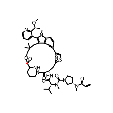 C=CC(=O)N(C)[C@H]1CCN(C(=O)N(C)[C@H](C(=O)N[C@H]2Cc3nc(cs3)-c3ccc4c(c3)c(c(-c3cccnc3[C@H](C)OC)n4C)CC(C)(C)COCC3(C=O)CCCN(N3)C2=O)C(C)C)C1